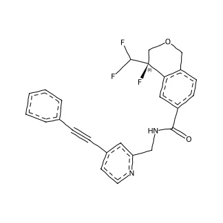 O=C(NCc1cc(C#Cc2ccccc2)ccn1)c1ccc2c(c1)[C@](F)(C(F)F)COC2